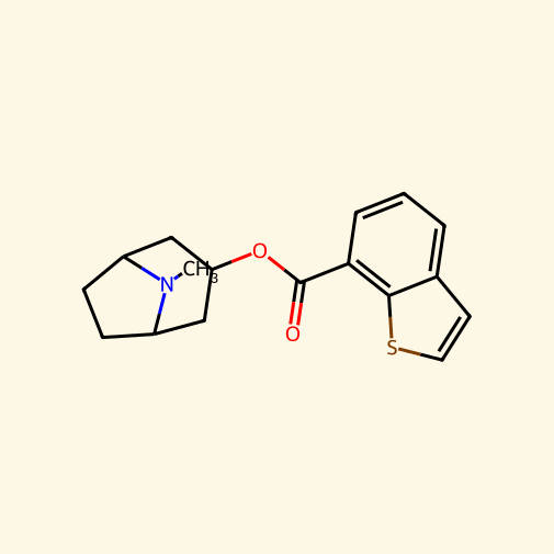 CN1C2CCC1CC(OC(=O)c1cccc3ccsc13)C2